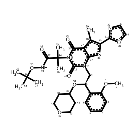 COc1ccccc1[C@H](Cn1c(=O)n(C(C)(C)C(=O)NOC(C)(C)C)c(=O)c2c(C)c(-c3ncco3)sc21)OC1CCOCC1